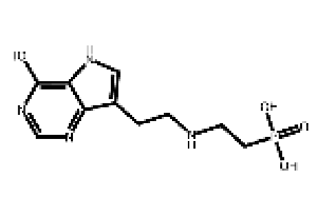 O=P(O)(O)CCNCCc1c[nH]c2c(O)ncnc12